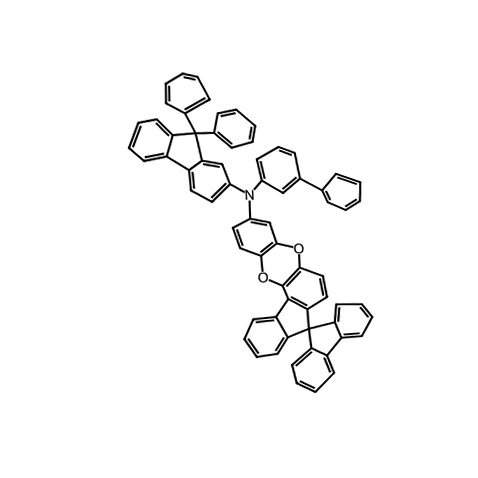 c1ccc(-c2cccc(N(c3ccc4c(c3)Oc3ccc5c(c3O4)-c3ccccc3C53c4ccccc4-c4ccccc43)c3ccc4c(c3)C(c3ccccc3)(c3ccccc3)c3ccccc3-4)c2)cc1